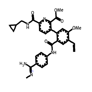 C=Cc1cc(C(=O)Nc2ccc(/C(N)=N/C)cc2)c(-c2ccc(C(=O)NCC3CC3)nc2C(=O)OC)cc1OC